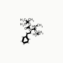 CN.CNC(=O)N(CCc1ccccc1)C(=O)OC(C)(C)C.Cl